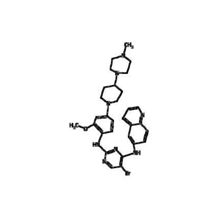 COc1cc(N2CCC(N3CCN(C)CC3)CC2)ccc1Nc1ncc(Br)c(Nc2ccc3ncccc3c2)n1